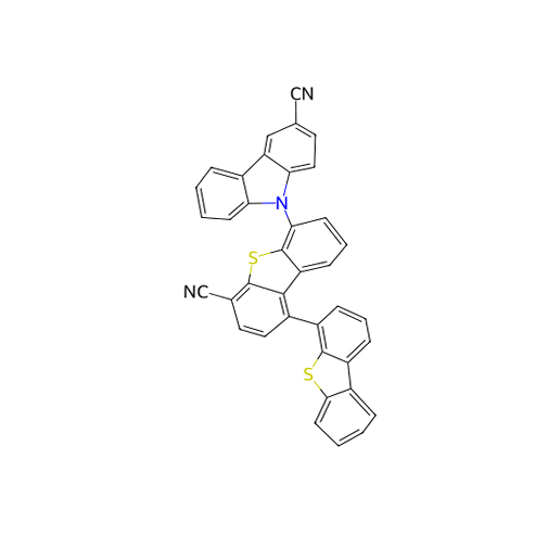 N#Cc1ccc2c(c1)c1ccccc1n2-c1cccc2c1sc1c(C#N)ccc(-c3cccc4c3sc3ccccc34)c12